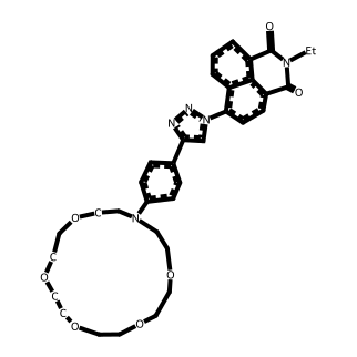 CCN1C(=O)c2cccc3c(-n4cc(-c5ccc(N6CCOCCOCCOCCOCCOCC6)cc5)nn4)ccc(c23)C1=O